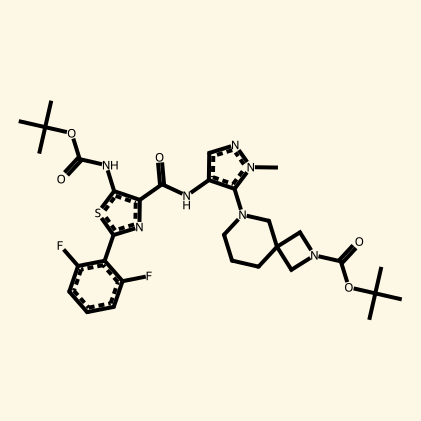 Cn1ncc(NC(=O)c2nc(-c3c(F)cccc3F)sc2NC(=O)OC(C)(C)C)c1N1CCCC2(CN(C(=O)OC(C)(C)C)C2)C1